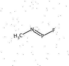 C/N=P/F